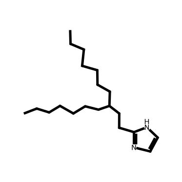 CCCCCCCC(CCCCCCC)CCc1ncc[nH]1